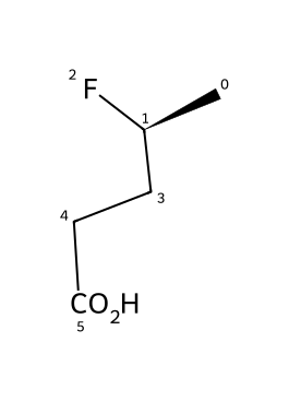 C[C@H](F)CCC(=O)O